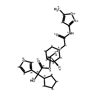 Cc1cc(NC(=O)C[N+]23CCC(CC2)[C@@H](OC(=O)C(O)(c2ccoc2)C2CCCC2)C3)no1